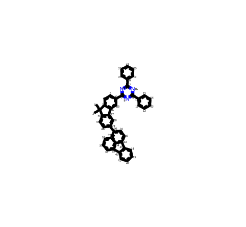 CC1(C)c2ccc(-c3nc(-c4ccccc4)nc(-c4ccccc4)n3)cc2-c2cc(-c3ccc4c5c(cccc35)-c3ccccc3-4)ccc21